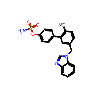 N#Cc1ccc(Cn2cnc3ccccc32)cc1-c1ccc(OS(N)(=O)=O)cc1